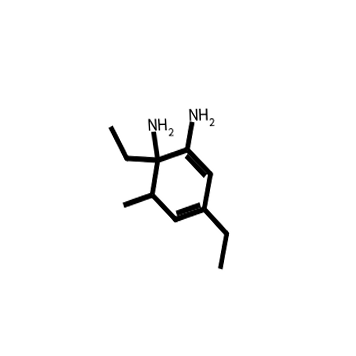 CCC1=CC(C)C(N)(CC)C(N)=C1